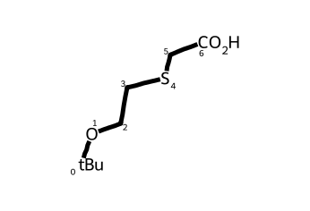 CC(C)(C)OCCSCC(=O)O